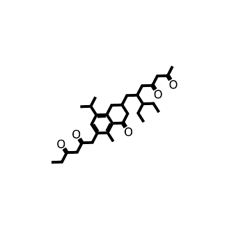 CCC(=O)CC(=O)Cc1cc(C(C)C)c2c(c1C)C(=O)CC(CC(CC(=O)CC(C)=O)C(CC)CC)C2